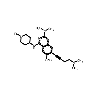 COc1cc2c(NC3CCN(C(C)C)CC3)nc(N(C)C)nc2cc1C#CCCN(C)C